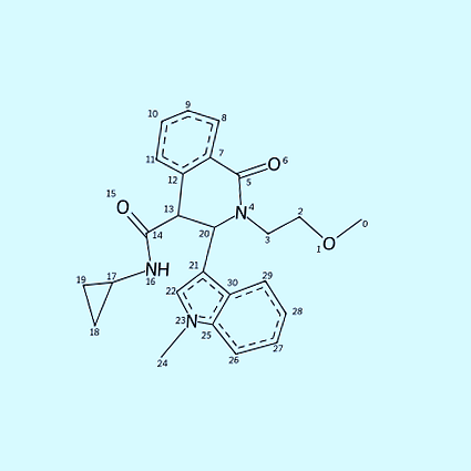 COCCN1C(=O)c2ccccc2C(C(=O)NC2CC2)C1c1cn(C)c2ccccc12